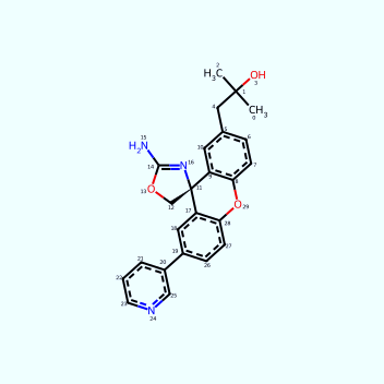 CC(C)(O)Cc1ccc2c(c1)[C@]1(COC(N)=N1)c1cc(-c3cccnc3)ccc1O2